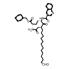 NC(=O)C[C@H](CCCCCCCCCCCCC=O)C(=O)[C@H](CCCC(=O)OCc1ccccc1)NC(=O)c1cnc2ccccc2c1